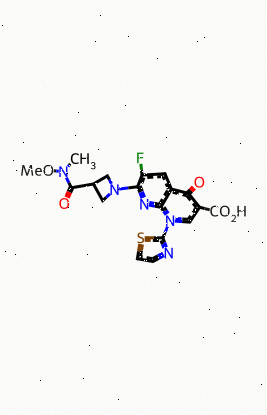 CON(C)C(=O)C1CN(c2nc3c(cc2F)c(=O)c(C(=O)O)cn3-c2nccs2)C1